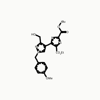 CCOC(=O)c1sc(C(=O)OC(C)(C)C)nc1-c1cn(Cc2ccc(OC)cc2)nc1CO